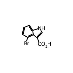 O=C(O)c1c[nH]c2cccc(Br)c12